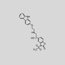 CS(=O)(=O)n1c(=O)oc2ccc([C@H](O)CNCCOc3ccc4c(c3)[nH]c3ccccc34)cc21